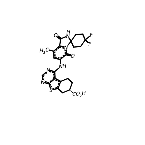 Cc1cc(Nc2ncnc3sc4c(c23)CC[C@H](C(=O)O)C4)c(=O)n2c1C(=O)NC21CCC(F)(F)CC1